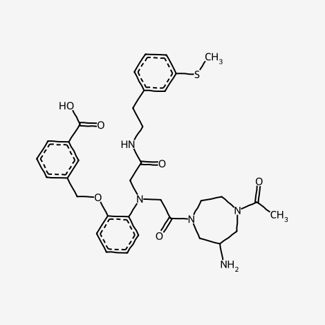 CSc1cccc(CCNC(=O)CN(CC(=O)N2CCN(C(C)=O)CC(N)C2)c2ccccc2OCc2cccc(C(=O)O)c2)c1